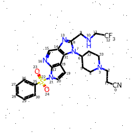 N#CCCN1CCC(n2c(CNCC(F)(F)F)nc3cnc4c(ccn4S(=O)(=O)c4ccccc4)c32)CC1